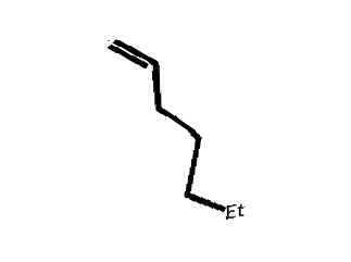 [CH]=CCCCC[CH2]